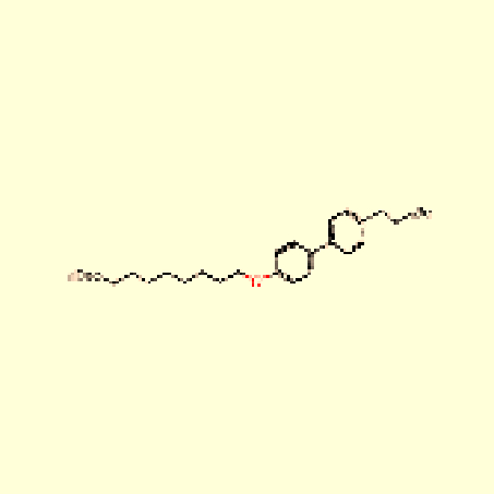 CCCCCCCCCCCCCCCCCCOc1ccc(-c2ccc(CCC(C)CC)cc2)cc1